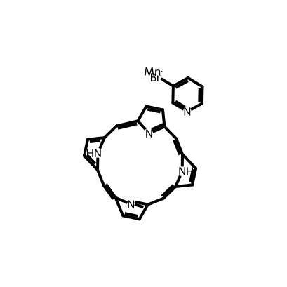 Brc1cccnc1.C1=Cc2cc3ccc(cc4nc(cc5ccc(cc1n2)[nH]5)C=C4)[nH]3.[Mn]